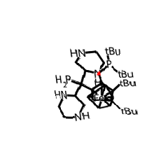 CC(C)(C)P(C[C]12[C]3(C(P)(C4CNCCN4)C4CNCCN4)[CH]4[C]5(C(C)(C)C)[C]1(C(C)(C)C)[Fe]42351678[CH]2[CH]1[CH]6[CH]7[CH]28)C(C)(C)C